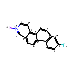 Fc1ccc2c(ccc3c4cc[n+](I)cc4ccc23)c1